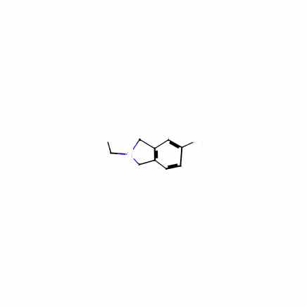 CC(C)CN1Cc2ccc(C(C)C)cc2C1